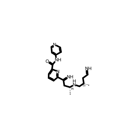 C[C@@H](CC=N)CN[C@H](C)CC(=N)c1cccc(C(=O)Nc2ccncc2)n1